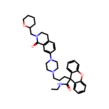 CCNC(=O)C1(CCCN2CCN(c3ccc4c(c3)C(=O)N(CC3CCCCO3)CC4)CC2)c2ccccc2Oc2ccccc21